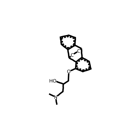 CN(C)CC(O)COc1cccc2c1C1CCC2c2ccccc21